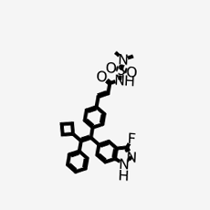 CN(C)S(=O)(=O)NC(=O)C=Cc1ccc(C(=C(c2ccccc2)C2CCC2)c2ccc3[nH]nc(F)c3c2)cc1